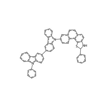 c1ccc(C2Nc3ccc4ccc5cc(-n6c7ccccc7c7cc(-c8ccc9c(c8)c8ccccc8n9-c8ccccc8)ccc76)ccc5c4c3S2)cc1